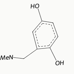 CNCc1cc(O)ccc1O